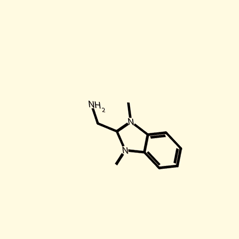 CN1c2ccccc2N(C)C1CN